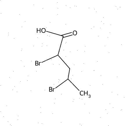 CC(Br)CC(Br)C(=O)O